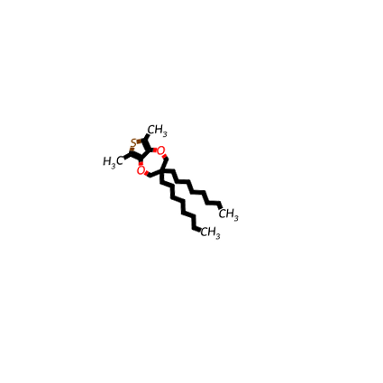 CCCCCCCCC1(CCCCCCCC)COc2c(C)sc(C)c2OC1